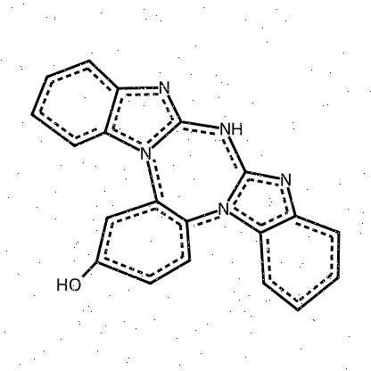 Oc1ccc2c(c1)n1c(nc3ccccc31)[nH]c1nc3ccccc3n12